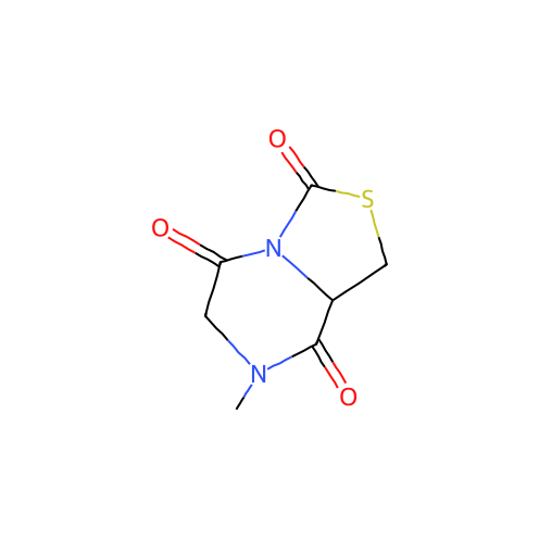 CN1CC(=O)N2C(=O)SCC2C1=O